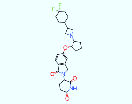 O=C1CCC(N2Cc3cc(O[C@@H]4CCC[C@@H]4N4CC(C5CCC(F)(F)CC5)C4)ccc3C2=O)C(=O)N1